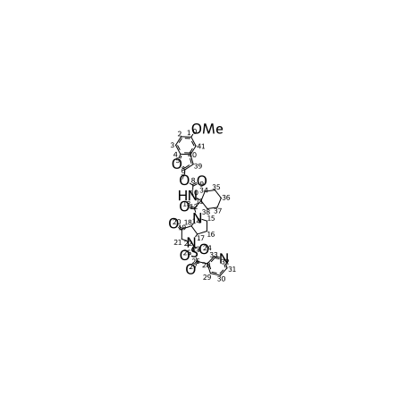 COc1ccc2oc(OC(=O)NC3(C(=O)N4CCC5C4C(=O)CN5S(=O)(=O)C(=O)c4cccnc4)CCCCC3)cc2c1